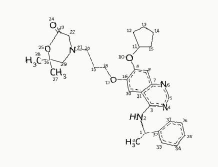 CC(Nc1ncnc2cc(OC3CCCC3)c(OCCCN3CC(=O)OC(C)(C)C3)cc12)c1ccccc1